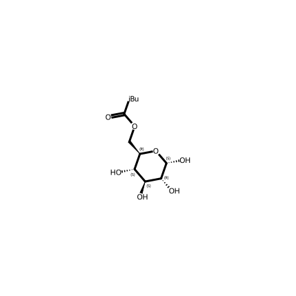 CCC(C)C(=O)OC[C@H]1O[C@H](O)[C@H](O)[C@@H](O)[C@@H]1O